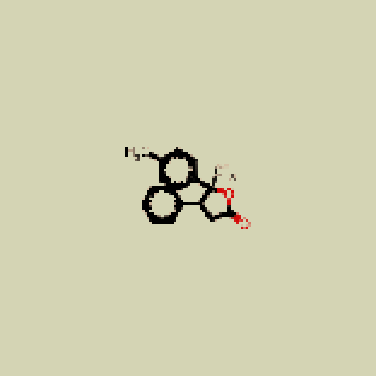 Cc1ccc([C@]2(C(F)(F)F)OC(=O)C[C@H]2c2ccccc2)cc1